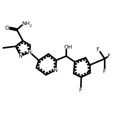 Cc1nn(-c2ccnc(C(O)c3cc(F)cc(C(F)(F)F)c3)c2)cc1C(N)=O